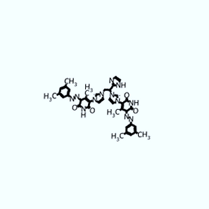 CC1=C(N2[CH]N(CC(c3ncc[nH]3)N3[CH]N(C4=C(C)C(N=Nc5cc(C)cc(C)c5)C(=O)NC4=O)C=C3)C=C2)C(=O)NC(=O)C1N=Nc1cc(C)cc(C)c1